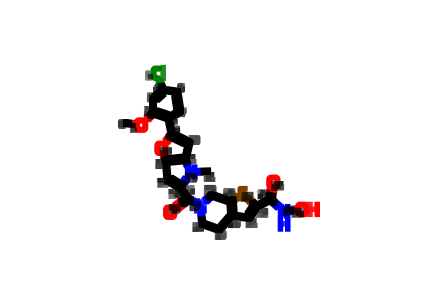 COc1cc(Cl)ccc1-c1cc2c(cc(C(=O)N3CCc4cc(C(=O)NO)sc4C3)n2C)o1